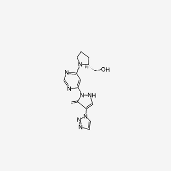 C=C1C(n2ccnn2)=CNN1c1cc(N2CCC[C@@H]2CO)ncn1